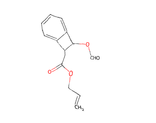 C=CCOC(=O)C1[C](OC=O)c2ccccc21